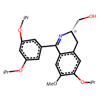 COc1cc2c(cc1OC(C)C)C[C@@H](CO)N=C2c1cc(OC(C)C)cc(OC(C)C)c1